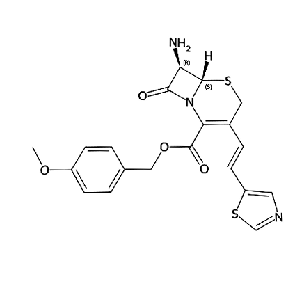 COc1ccc(COC(=O)C2=C(C=Cc3cncs3)CS[C@H]3[C@H](N)C(=O)N23)cc1